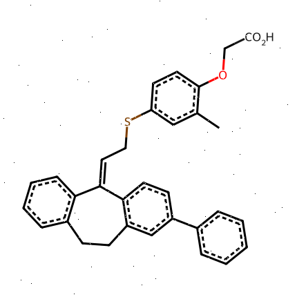 Cc1cc(SCC=C2c3ccccc3CCc3cc(-c4ccccc4)ccc32)ccc1OCC(=O)O